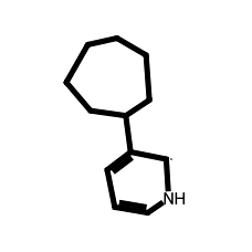 [CH]1NC=CC=C1C1CCCCCC1